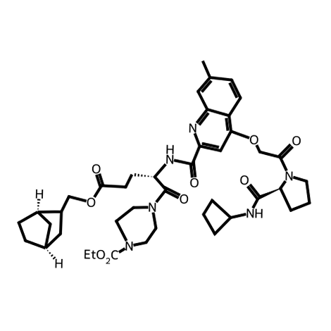 CCOC(=O)N1CCN(C(=O)[C@H](CCC(=O)OCC2C[C@H]3CC[C@@H]2C3)NC(=O)c2cc(OCC(=O)N3CCC[C@H]3C(=O)NC3CCC3)c3ccc(C)cc3n2)CC1